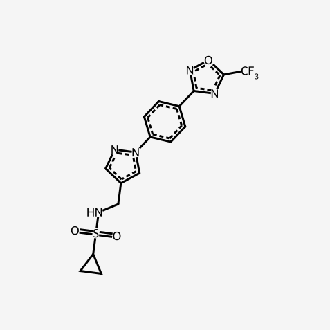 O=S(=O)(NCc1cnn(-c2ccc(-c3noc(C(F)(F)F)n3)cc2)c1)C1CC1